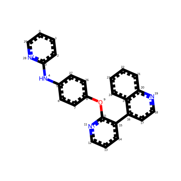 c1ccc(Nc2ccc(Oc3ncccc3-c3ccnc4ccccc34)cc2)nc1